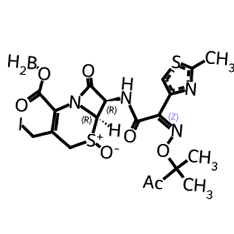 BOC(=O)C1=C(CI)C[S+]([O-])[C@@H]2[C@H](NC(=O)/C(=N\OC(C)(C)C(C)=O)c3csc(C)n3)C(=O)N12